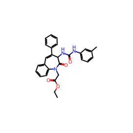 CCOC(=O)CN1C(=O)C(NC(=O)Nc2cccc(C)c2)C(c2ccccc2)=Cc2ccccc21